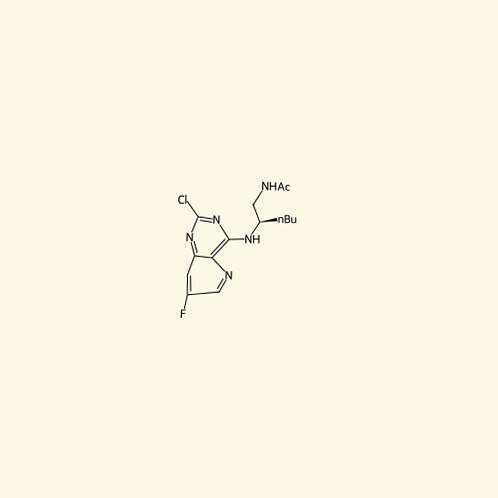 CCCC[C@H](CNC(C)=O)Nc1nc(Cl)nc2cc(F)cnc12